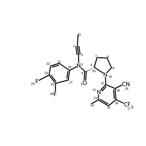 CC#CN(C(=O)[C@@H]1CCCN1c1nc(C)cc(C(F)(F)F)c1C#N)c1ccc(F)c(F)c1